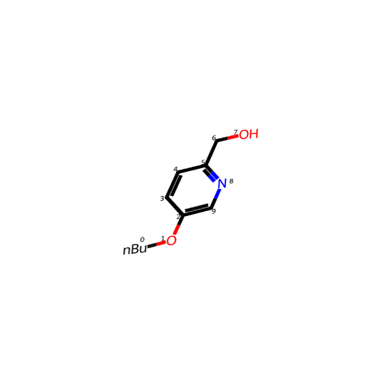 CCCCOc1ccc(CO)nc1